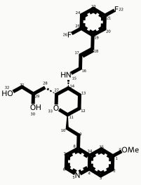 COc1ccc2nccc(CC[C@@H]3CC[C@@H](NC/C=C/c4cc(F)ccc4F)[C@@H](CC(O)CO)O3)c2c1